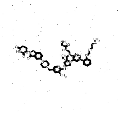 CC[C@@]12C[C@@H](Oc3ncc(CN4CCN(c5ccc6c(c5)C(=O)N([C@H]5CCC(=O)NC5=O)C6)CC4)cc3C)CN1c1cc(-c3ccccc3OCOCCOC)nnc1N(CNC(=O)CN)C2